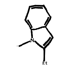 [CH2]n1c(CC)cc2ccccc21